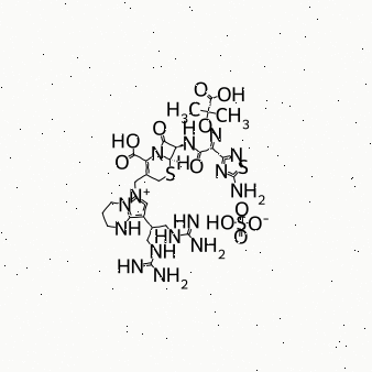 CC(C)(O/N=C(\C(=O)N[C@@H]1C(=O)N2C(C(=O)O)=C(C[n+]3cc(C(CNC(=N)N)CNC(=N)N)c4n3CCCN4)CS[C@H]12)c1nsc(N)n1)C(=O)O.O=S(=O)([O-])O